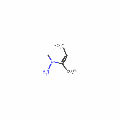 CCOC(=O)C(=CC(=O)O)N(C)N